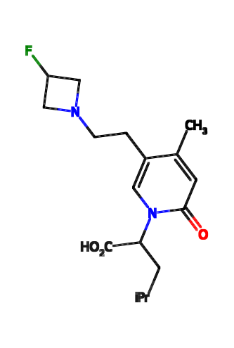 Cc1cc(=O)n(C(CC(C)C)C(=O)O)cc1CCN1CC(F)C1